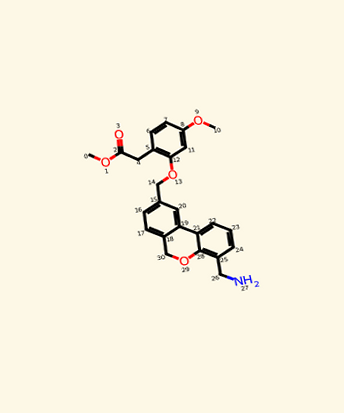 COC(=O)Cc1ccc(OC)cc1OCc1ccc2c(c1)-c1cccc(CN)c1OC2